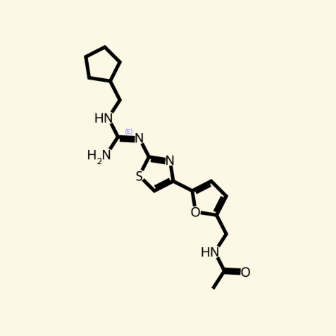 CC(=O)NCc1ccc(-c2csc(/N=C(\N)NCC3CCCC3)n2)o1